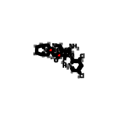 CC(C)(Oc1ncc(Cl)cc1Cl)C(=O)NC1CC2CCC(C1)N2c1ccc(C(N)=O)cn1